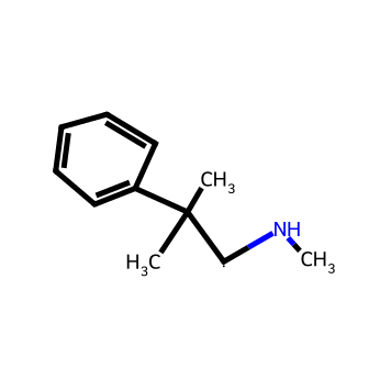 CN[CH]C(C)(C)c1ccccc1